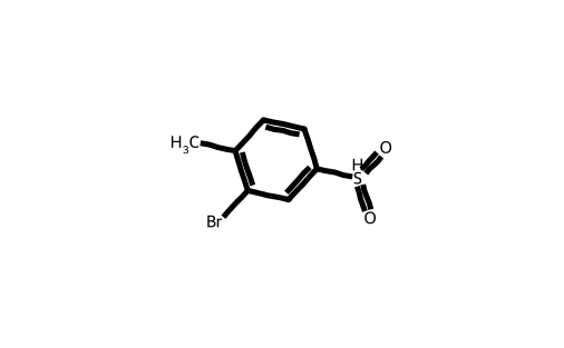 Cc1ccc([SH](=O)=O)cc1Br